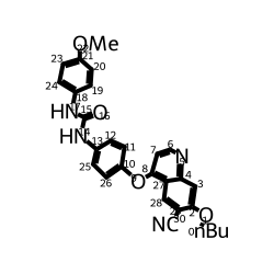 CCCCOc1cc2nccc(Oc3ccc(NC(=O)Nc4ccc(OC)cc4)cc3)c2cc1C#N